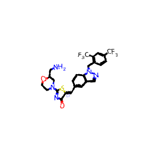 NCC1CN(C2=NC(=O)/C(=C/C3=CC4C=NN(Cc5ccc(C(F)(F)F)cc5C(F)(F)F)C4C=C3)S2)CCO1